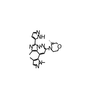 Cc1cnn(C)c1-c1cc(N2CCOC[C@H]2C)nn2c(-c3ccn[nH]3)nc(C)c12